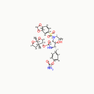 CC(C)CN(C[C@@H](O)[C@H](Cc1ccc(OC(N)=O)cc1)NC(=O)O[C@H]1CO[C@H]2OCC[C@H]21)S(=O)(=O)c1ccc2c(c1)OCO2